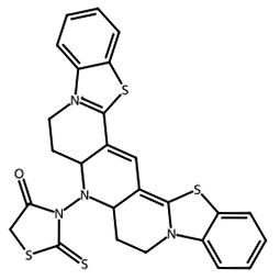 O=C1CSC(=S)N1N1C2CC[n+]3c(sc4ccccc43)C2=CC2=C3Sc4ccccc4N3CCC21